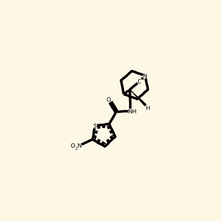 O=C(N[C@H]1CN2CCC1CC2)c1ccc([N+](=O)[O-])s1